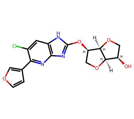 O[C@@H]1CO[C@H]2[C@@H]1OC[C@H]2Oc1nc2nc(-c3ccoc3)c(Cl)cc2[nH]1